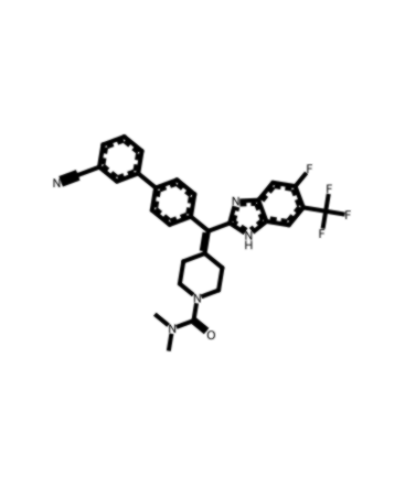 CN(C)C(=O)N1CCC(=C(c2ccc(-c3cccc(C#N)c3)cc2)c2nc3cc(F)c(C(F)(F)F)cc3[nH]2)CC1